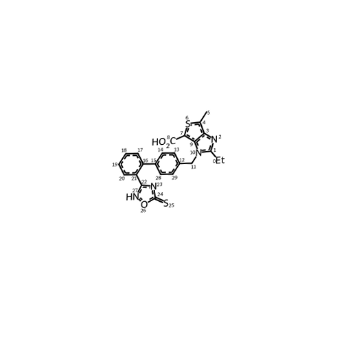 CCc1nc2c(C)sc(C(=O)O)c2n1Cc1ccc(-c2ccccc2-c2nc(=S)o[nH]2)cc1